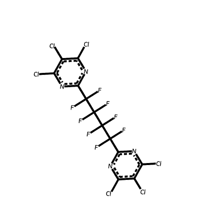 FC(F)(c1nc(Cl)c(Cl)c(Cl)n1)C(F)(F)C(F)(F)C(F)(F)c1nc(Cl)c(Cl)c(Cl)n1